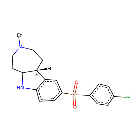 CCN1CCC2Nc3ccc(S(=O)(=O)c4ccc(F)cc4)cc3[C@H]2CC1